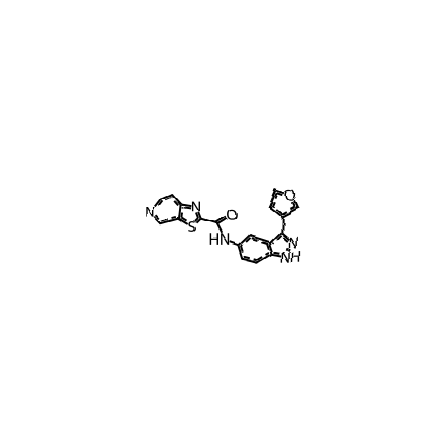 O=C(Nc1ccc2[nH]nc(-c3ccoc3)c2c1)c1nc2ccncc2s1